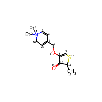 CC[N+]1(CC)C=CC(COC2=CSC(C)C2=O)=CC1